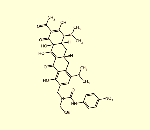 CN(C)c1cc(CN(CC(C)(C)C)C(=O)Nc2ccc([N+](=O)[O-])cc2)c(O)c2c1C[C@H]1C[C@H]3[C@H](N(C)C)C(O)=C(C(N)=O)C(=O)[C@@]3(O)C(O)=C1C2=O